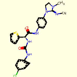 CN1CCN(c2ccc(NC(=O)[C@@H](NC(=O)Nc3ccc(Cl)cc3)c3cccs3)cc2)C1=NC#N